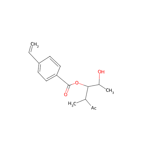 C=Cc1ccc(C(=O)OC(C(C)O)C(C)C(C)=O)cc1